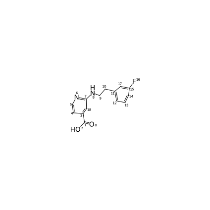 O=C(O)c1ccnc(NCCc2cccc(F)c2)c1